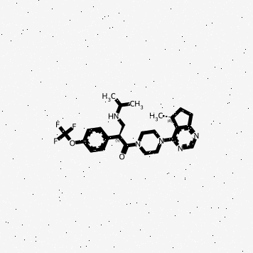 CC(C)NC[C@@H](C(=O)N1CCN(c2ncnc3c2[C@H](C)CC3)CC1)c1ccc(OC(F)(F)F)cc1